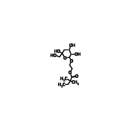 CCC(C)(C)C(=O)OCCOC1OC(O)(CO)CC(O)C1O